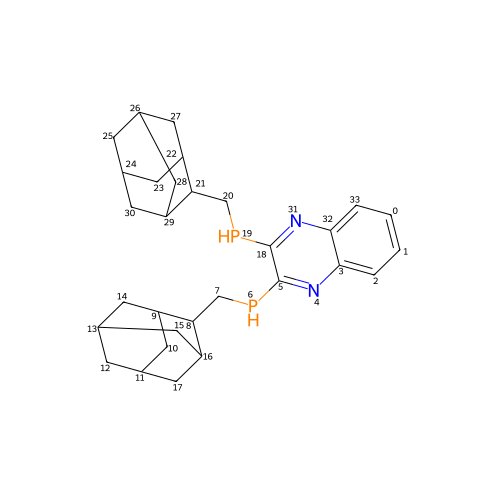 c1ccc2nc(PCC3C4CC5CC(C4)CC3C5)c(PCC3C4CC5CC(C4)CC3C5)nc2c1